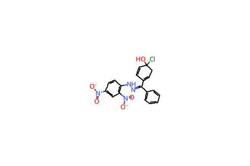 O=[N+]([O-])c1ccc(NN=C(C2=CCC(O)(Cl)C=C2)c2ccccc2)c([N+](=O)[O-])c1